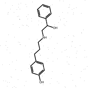 Oc1ccc(CCCNCC(O)c2ccccc2)cc1